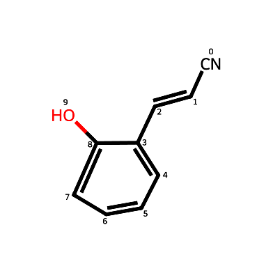 N#CC=Cc1ccccc1O